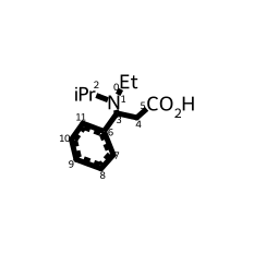 CCN(C(C)C)C(CC(=O)O)c1ccccc1